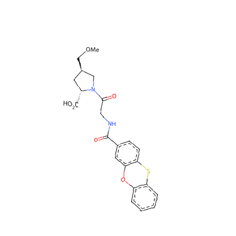 COC[C@@H]1C[C@@H](C(=O)O)N(C(=O)CNC(=O)c2ccc3c(c2)Oc2ccccc2S3)C1